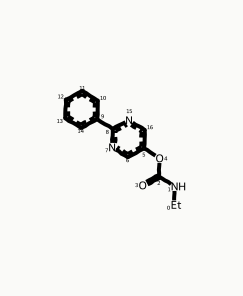 CCNC(=O)Oc1cnc(-c2ccccc2)nc1